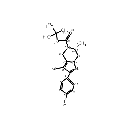 C[C@@H]1Cn2nc(-c3ccc(F)cc3)c(I)c2CN1C(=O)OC(C)(C)C